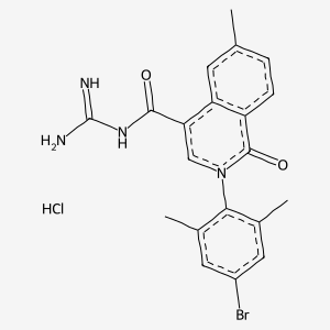 Cc1ccc2c(=O)n(-c3c(C)cc(Br)cc3C)cc(C(=O)NC(=N)N)c2c1.Cl